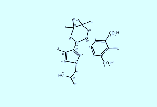 Cc1c(C(=O)O)cccc1C(=O)O.Cc1nn(CC(C)O)cc1B1OCC(C)(C)C(C)(C)O1